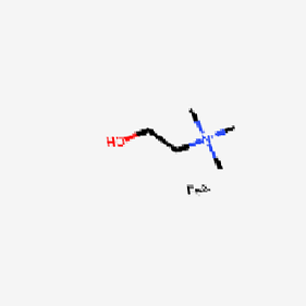 C[N+](C)(C)CCO.[Fe+2]